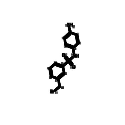 Nc1ccc(NS(=O)(=O)c2cccc(CBr)c2)cc1